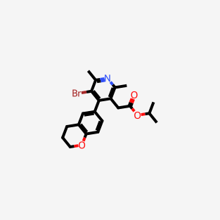 Cc1nc(C)c(CC(=O)OC(C)C)c(-c2ccc3c(c2)CCCO3)c1Br